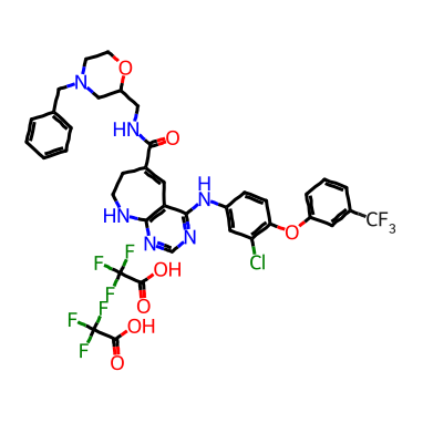 O=C(NCC1CN(Cc2ccccc2)CCO1)C1=Cc2c(ncnc2Nc2ccc(Oc3cccc(C(F)(F)F)c3)c(Cl)c2)NCC1.O=C(O)C(F)(F)F.O=C(O)C(F)(F)F